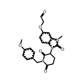 COc1ccc(CN2C(=O)CCC(n3c(=O)n(C)c4cc(OCC=O)ccc43)C2=O)cc1